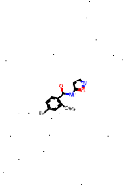 CCc1ccc(C(=O)Nc2ccno2)c(OC)c1